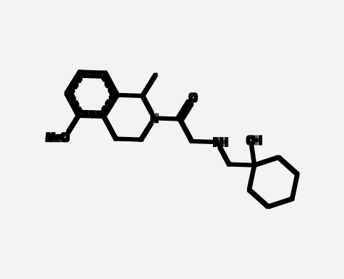 COc1cccc2c1CCN(C(=O)CNCC1(O)CCCCC1)C2C